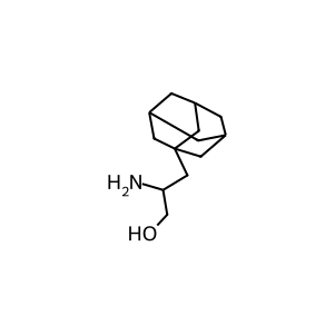 NC(CO)CC12CC3CC(CC(C3)C1)C2